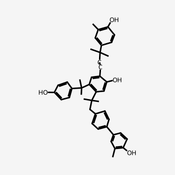 Cc1cc(-c2ccc(CC(C)(C)c3cc(O)c(CCC(C)(C)c4ccc(O)c(C)c4)cc3C(C)(C)c3ccc(O)cc3)cc2)ccc1O